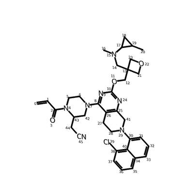 C=CC(=O)N1CCN(c2nc(OCC3(CN(C)C4CC4C)COC3)nc3c2CCN(c2cccc4cccc(Cl)c24)C3)CC1CC#N